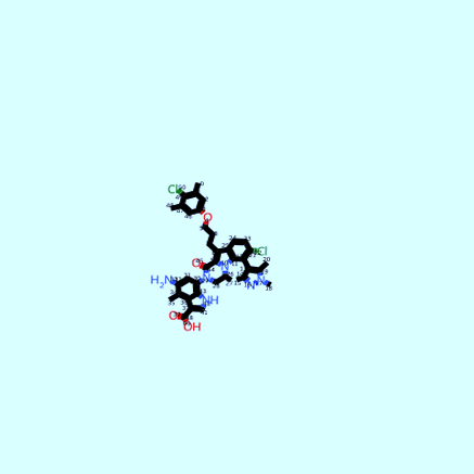 Cc1cc(OCCCc2c3n(c4c(-c5c(C)nn(C)c5C)c(Cl)ccc24)C(C)CN(c2cc(N)c(C)c4c(C(=O)O)c[nH]c24)C3=O)cc(C)c1Cl